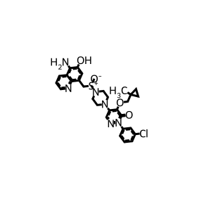 CC1(COc2c(N3CCN([S+]([O-])Cc4cc(O)c(N)c5cccnc45)CC3)cnn(-c3cccc(Cl)c3)c2=O)CC1